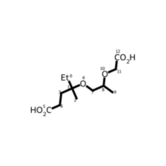 CCC(C)(CCC(=O)O)OCC(C)OCC(=O)O